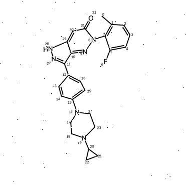 Cc1cccc(F)c1-n1nc2c(-c3ccc(N4CCN(C5CC5)CC4)cc3)n[nH]c2cc1=O